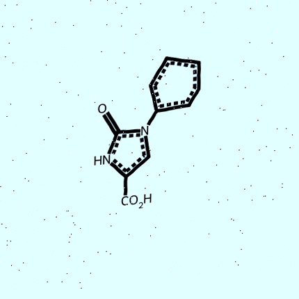 O=C(O)c1cn(-c2ccccc2)c(=O)[nH]1